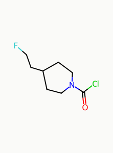 O=C(Cl)N1CCC(CCF)CC1